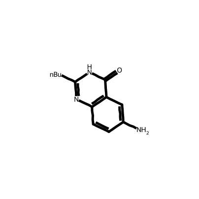 CCCCc1nc2ccc(N)cc2c(=O)[nH]1